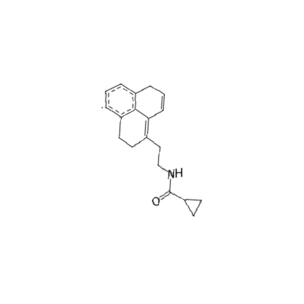 O=C(NCCC1=C2C=CCc3cc[c]c(c32)CC1)C1CC1